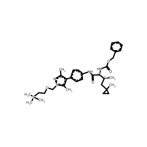 Cc1nn(COCCS(C)(C)C)c(C)c1-c1ccc(NC(=O)[C@@H](NC(=O)OCc2ccccc2)[C@@H](C)CC2(C)CC2)cc1